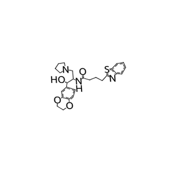 O=C(CCCc1nc2ccccc2s1)NC(CN1CCCC1)[C@H](O)c1ccc2c(c1)OCCO2